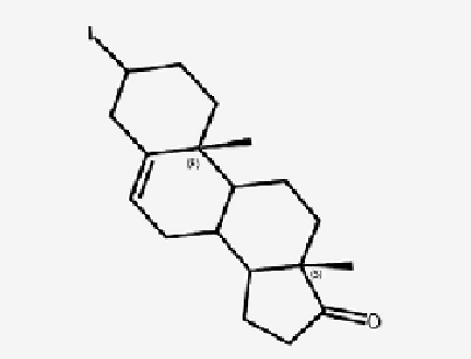 C[C@]12CCC(I)CC1=CCC1C2CC[C@]2(C)C(=O)CCC12